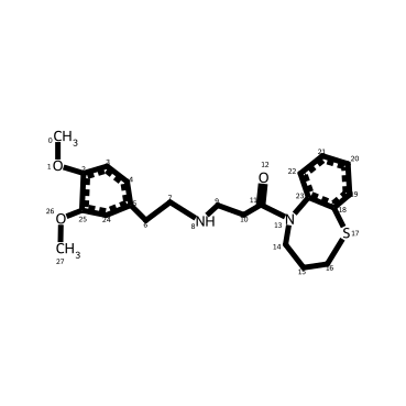 COc1ccc(CCNCCC(=O)N2CCCSc3ccccc32)cc1OC